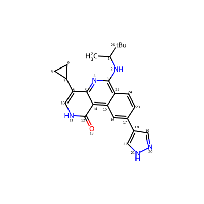 CC(Nc1nc2c(C3CC3)c[nH]c(=O)c2c2cc(-c3cn[nH]c3)ccc12)C(C)(C)C